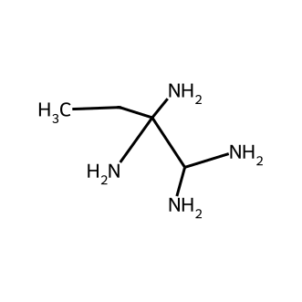 CCC(N)(N)C(N)N